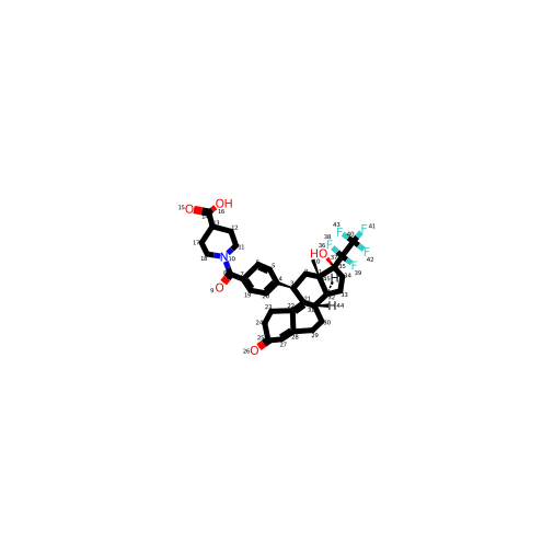 C[C@]12C[C@H](c3ccc(C(=O)N4CCC(C(=O)O)CC4)cc3)C3=C4CCC(=O)C=C4CC[C@H]3[C@@H]1CC[C@@]2(O)C(F)(F)C(F)(F)F